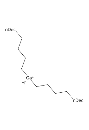 CCCCCCCCCCCCC[CH2][Ga+][CH2]CCCCCCCCCCCCC.[H-]